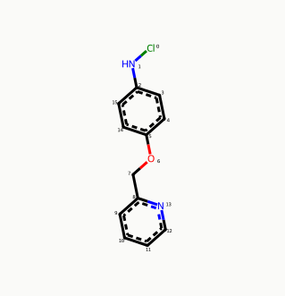 ClNc1ccc(OCc2ccccn2)cc1